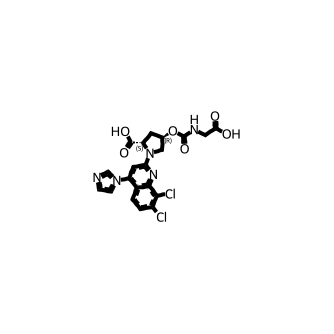 O=C(O)CNC(=O)O[C@@H]1C[C@@H](C(=O)O)N(c2cc(-n3ccnc3)c3ccc(Cl)c(Cl)c3n2)C1